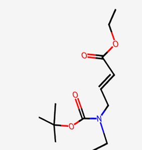 CCOC(=O)/C=C/CN(CC)C(=O)OC(C)(C)C